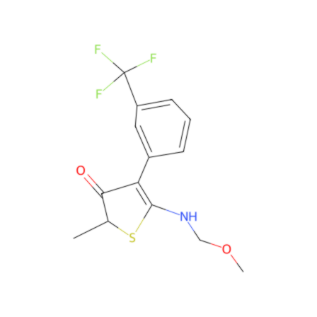 COCNC1=C(c2cccc(C(F)(F)F)c2)C(=O)C(C)S1